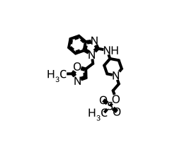 Cc1ncc(Cn2c(NC3CCN(CCOS(C)(=O)=O)CC3)nc3ccccc32)o1